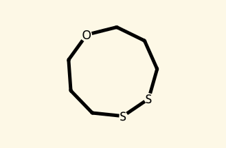 C1COCCCSSC1